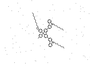 CCCCCCCCCCOc1ccc(C2(c3ccc(C)cc3)c3ccc(-c4ccc5c(c4)c4ccccc4n5CCCCCCCC)cc3-c3cc(-c4ccc5c(c4)c4ccccc4n5CCCCCCCC)ccc32)cc1